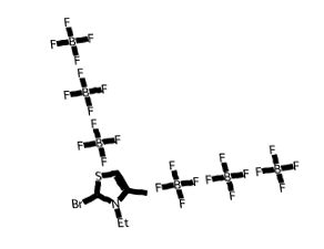 CCN1C(C)=CSC1Br.F[B-](F)(F)F.F[B-](F)(F)F.F[B-](F)(F)F.F[B-](F)(F)F.F[B-](F)(F)F.F[B-](F)(F)F